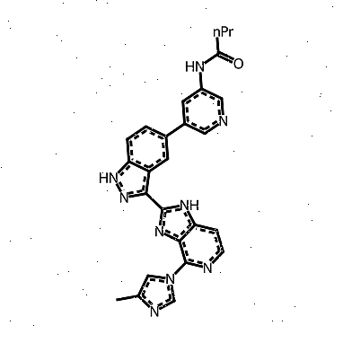 CCCC(=O)Nc1cncc(-c2ccc3[nH]nc(-c4nc5c(-n6cnc(C)c6)nccc5[nH]4)c3c2)c1